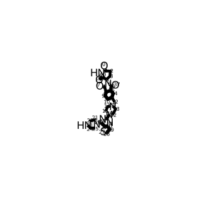 O=C1CCC(N2C(=O)c3ccc(CN4CCN(c5nc(N6CCNCC6)c6sccc6n5)CC4)cc3C2=O)C(=O)N1